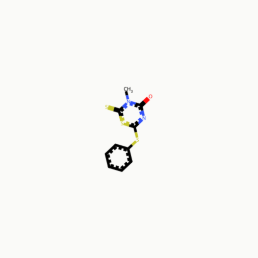 Cn1c(=O)nc(Sc2ccccc2)sc1=S